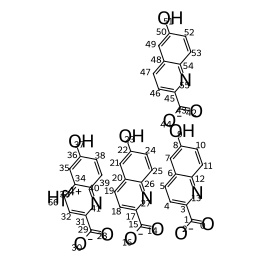 O=C([O-])c1ccc2cc(O)ccc2n1.O=C([O-])c1ccc2cc(O)ccc2n1.O=C([O-])c1ccc2cc(O)ccc2n1.O=C([O-])c1ccc2cc(O)ccc2n1.[Hf+4]